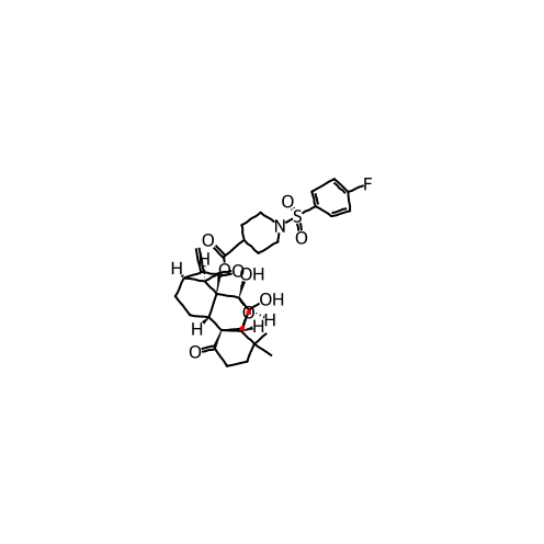 C=C1C(=O)[C@]23[C@H](OC(=O)C4CCN(S(=O)(=O)c5ccc(F)cc5)CC4)[C@H]1CC[C@H]2[C@@]12CO[C@]3(O)[C@@H](O)[C@@H]1C(C)(C)CCC2=O